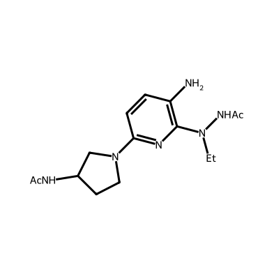 CCN(NC(C)=O)c1nc(N2CCC(NC(C)=O)C2)ccc1N